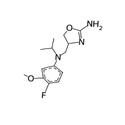 COc1cc(N(CC2COC(N)=N2)C(C)C)ccc1F